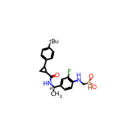 C[C@@H](NC(=O)C1CC1c1ccc(C(C)(C)C)cc1)c1ccc(NC[SH](=O)=O)c(F)c1